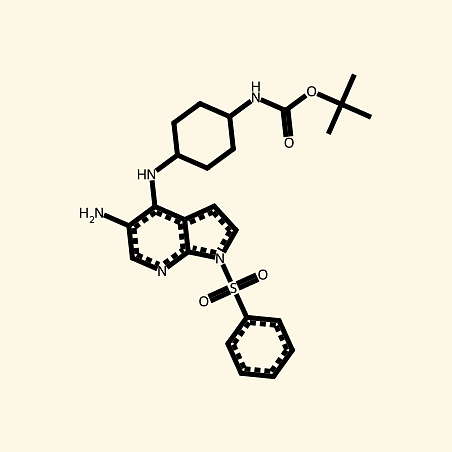 CC(C)(C)OC(=O)NC1CCC(Nc2c(N)cnc3c2ccn3S(=O)(=O)c2ccccc2)CC1